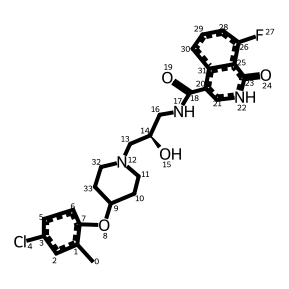 Cc1cc(Cl)ccc1OC1CCN(C[C@H](O)CNC(=O)c2c[nH]c(=O)c3c(F)cccc23)CC1